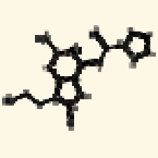 N=C(/N=c1\[nH]c(N)nc2c1sc(=O)n2CCO)c1ccco1